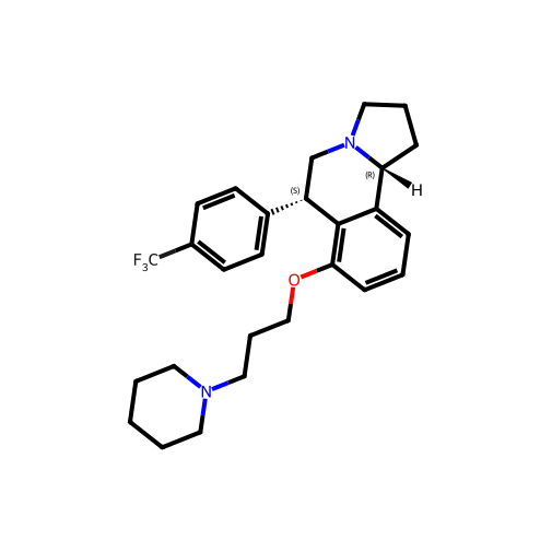 FC(F)(F)c1ccc([C@@H]2CN3CCC[C@@H]3c3cccc(OCCCN4CCCCC4)c32)cc1